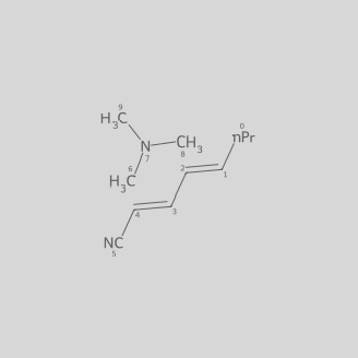 CCCC=CC=CC#N.CN(C)C